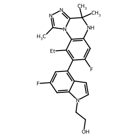 CCc1c(-c2cc(F)cc3c2ccn3CCO)c(F)cc2c1-n1c(C)nnc1C(C)(C)N2